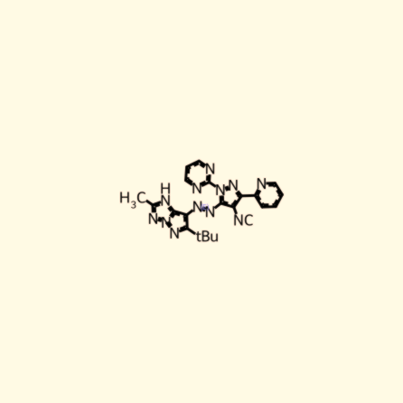 [C-]#[N+]c1c(-c2ccccn2)nn(-c2ncccn2)c1/N=N/c1c(C(C)(C)C)nn2nc(C)[nH]c12